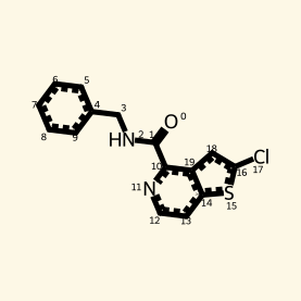 O=C(NCc1ccccc1)c1nccc2sc(Cl)cc12